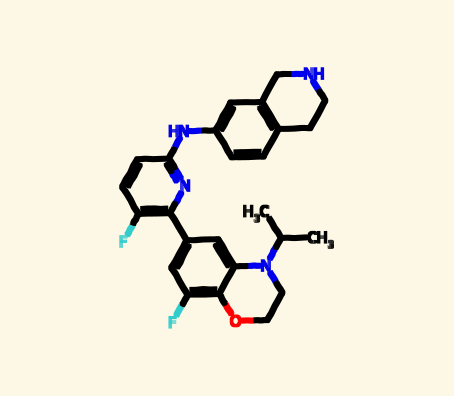 CC(C)N1CCOc2c(F)cc(-c3nc(Nc4ccc5c(c4)CNCC5)ccc3F)cc21